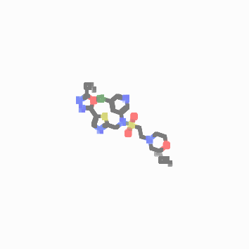 C[C@@H]1CN(CCS(=O)(=O)N(Cc2ncc(-c3nnc(C(F)(F)F)o3)s2)c2cncc(Cl)c2)CCO1